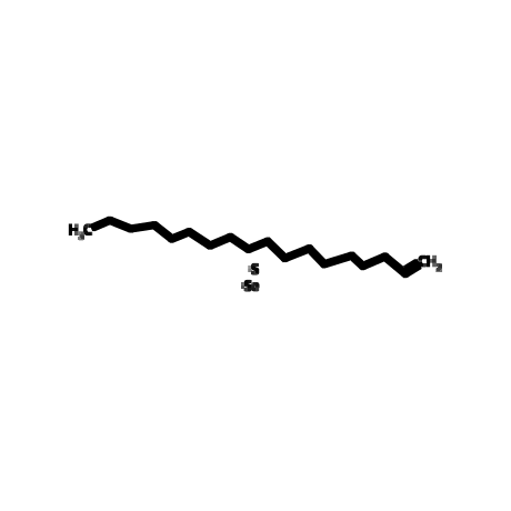 C=CCCCCCCCCCCCCCCCC.[S].[Se]